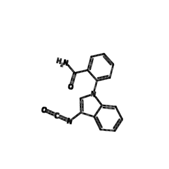 NC(=O)c1ccccc1-n1cc(N=C=O)c2ccccc21